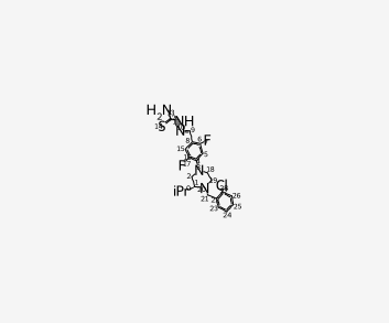 CC(C)[C@H]1CN(c2cc(F)c(/C=N/NC(N)=S)cc2F)CCN1Cc1ccccc1Cl